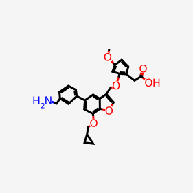 COc1ccc(CC(=O)O)c(OCc2coc3c(OCC4CC4)cc(-c4cccc(CN)c4)cc23)c1